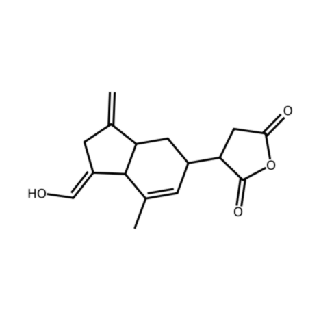 C=C1CC(=CO)C2C(C)=CC(C3CC(=O)OC3=O)CC12